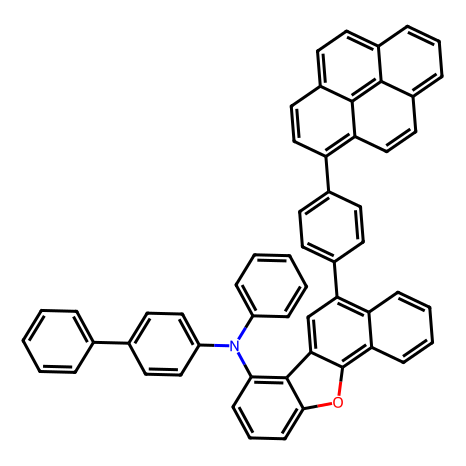 c1ccc(-c2ccc(N(c3ccccc3)c3cccc4oc5c6ccccc6c(-c6ccc(-c7ccc8ccc9cccc%10ccc7c8c9%10)cc6)cc5c34)cc2)cc1